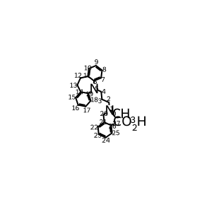 CN(CCCN1c2ccccc2CCc2ccccc21)Cc1ccccc1C(=O)O